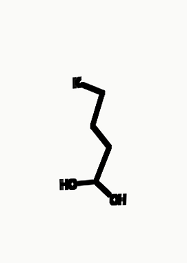 OC(O)CC[CH2][K]